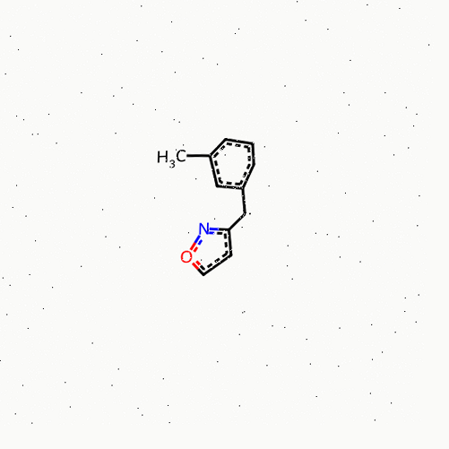 Cc1cccc([CH]c2ccon2)c1